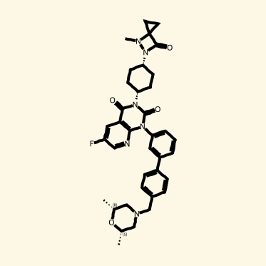 C[C@@H]1CN(Cc2ccc(-c3cccc(-n4c(=O)n([C@H]5CC[C@@H](N6C(=O)C7(CC7)N6C)CC5)c(=O)c5cc(F)cnc54)c3)cc2)C[C@H](C)O1